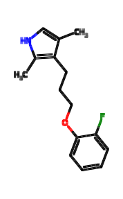 Cc1c[nH]c(C)c1CCCOc1ccccc1F